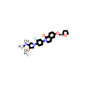 COC1CN(c2ccc(-n3ccc4cc(OC[C@H]5CCCO5)ccc4c3=O)cc2F)CC1N(C)C